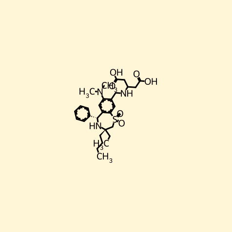 CCCC[C@]1(CC)CS(=O)(=O)c2cc(CNC(CC(=O)O)CC(=O)O)c(N(C)C)cc2[C@@H](c2ccccc2)N1